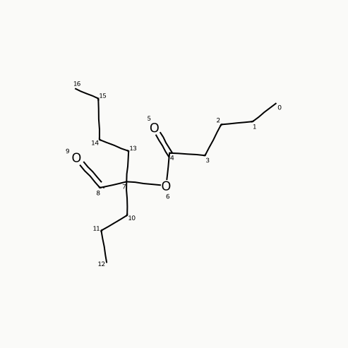 CCCCC(=O)OC([C]=O)(CCC)CCCC